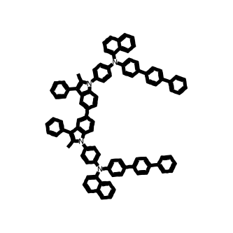 Cc1c(-c2ccccc2)c2cc(-c3ccc4c(c3)c(-c3ccccc3)c(C)n4-c3ccc(N(c4ccc(-c5ccc(-c6ccccc6)cc5)cc4)c4cccc5ccccc45)cc3)ccc2n1-c1ccc(N(c2ccc(-c3ccc(-c4ccccc4)cc3)cc2)c2cccc3ccccc23)cc1